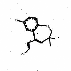 CC(=O)/C=C/C1=CC(C)(C)COc2ccc(Cl)cc21